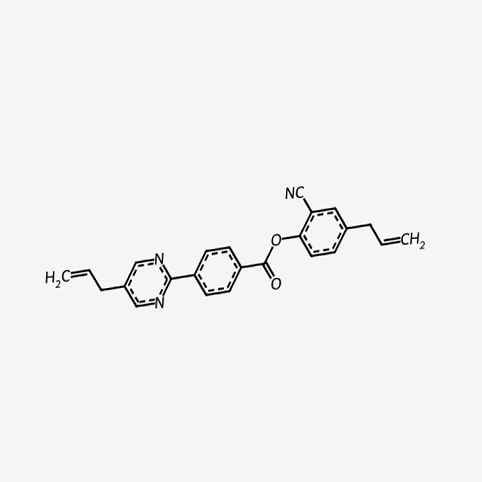 C=CCc1cnc(-c2ccc(C(=O)Oc3ccc(CC=C)cc3C#N)cc2)nc1